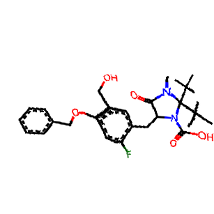 CN1C(=O)C(Cc2cc(CO)c(OCc3ccccc3)cc2F)N(C(=O)O)C1(C(C)(C)C)C(C)(C)C